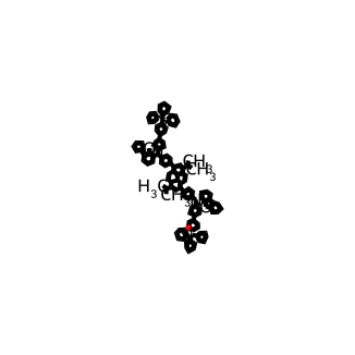 CC(C)C1=CC(c2ccc(N(c3ccc(-c4ccc([Si](c5ccccc5)(c5ccccc5)c5ccccc5)cc4)cc3)c3cccc4c3oc3ccccc34)cc2)=C2C=Cc3c(C(C)C)cc(-c4ccc(N(c5ccc(-c6ccc([Si](c7ccccc7)(c7ccccc7)c7ccccc7)cc6)cc5)c5cccc6c5oc5ccccc56)cc4)c4c3C2C1C=C4